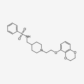 O=S(=O)(NCC1CCN(CCOc2cccc3c2OCCO3)CC1)c1ccccc1